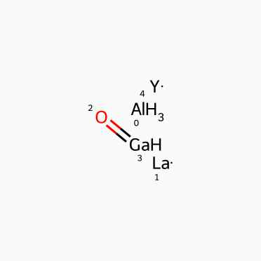 [AlH3].[La].[O]=[GaH].[Y]